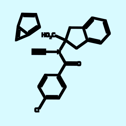 C#CN(C(=O)c1ccc(Cl)cc1)C1(C(=O)O)Cc2ccccc2C1.c1cc2cc-2c1